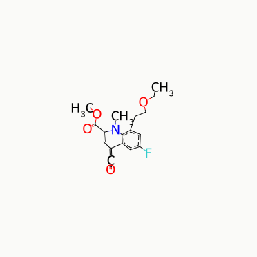 CCOCCc1cc(F)cc2c1N(C)C(C(=O)OC)=CC2=C=O